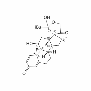 CCC(C)C1(O)OCC(=O)[C@@]2(O1)[C@H](C)C[C@H]1[C@@H]3CCC4=CC(=O)C=C[C@]4(C)[C@@]3(F)[C@@H](O)C[C@@]12C